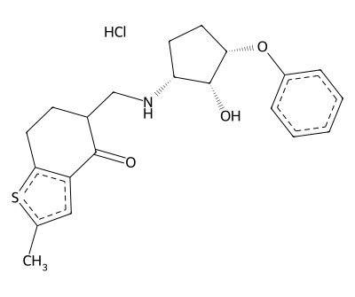 Cc1cc2c(s1)CCC(CN[C@@H]1CC[C@H](Oc3ccccc3)[C@@H]1O)C2=O.Cl